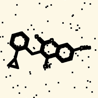 COc1ccc2c(O)c(Cc3ccccc3C3CC3)c(=O)oc2c1